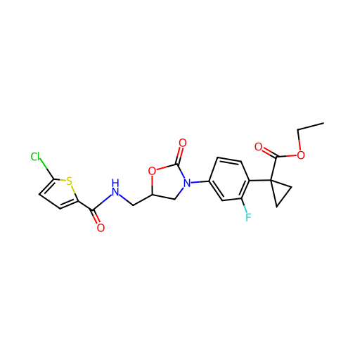 CCOC(=O)C1(c2ccc(N3CC(CNC(=O)c4ccc(Cl)s4)OC3=O)cc2F)CC1